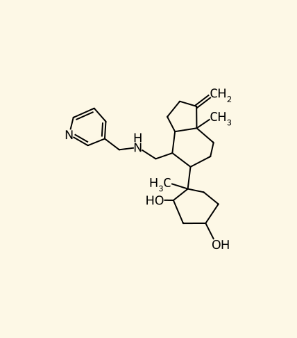 C=C1CCC2C(CNCc3cccnc3)C(C3(C)CCC(O)CC3O)CCC12C